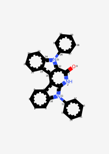 O=c1[nH]c2c(c3ccccc3n2-c2ccccc2)c2c3ccccc3n(-c3ccccc3)c12